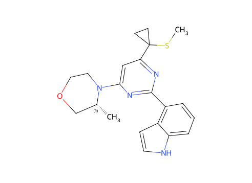 CSC1(c2cc(N3CCOC[C@H]3C)nc(-c3cccc4[nH]ccc34)n2)CC1